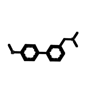 COc1ccc(-c2cccc(CN(C)C)c2)cc1